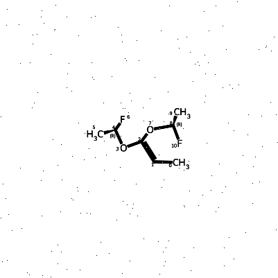 CC=C(O[C@@H](C)F)O[C@@H](C)F